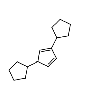 C1=CC(C2CCCC2)=C[C]1C1CCCC1